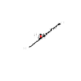 CCCCCCCCCCCCCC(=O)N[C@@H](CCC(=O)NCCOCCOCC(=O)NCCOCCOCC(=O)O)C(=O)OC(C)(C)C